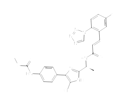 COC(=O)Nc1ccc(-c2nc([C@H](C)NC(=O)C=Cc3cc(Cl)ccc3-n3cnnn3)[nH]c2Cl)cc1